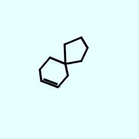 [C]1=CCCC2(C1)CCCC2